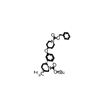 C[C@H]1CC[C@H](c2cccc(OC3CCN(C(=O)OCc4ccccc4)CC3)c2)N(C(=O)OC(C)(C)C)C1